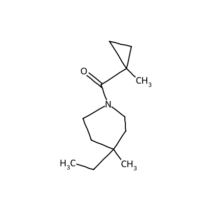 CCC1(C)CCN(C(=O)C2(C)CC2)CC1